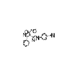 COCc1onc(-c2ccccc2)c1-c1cn(-c2ccc(C#N)cc2)cn1